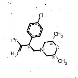 C=C(C(C)C)[C@H](CN1C[C@@H](C)O[C@@H](C)C1)c1ccc(Cl)cc1